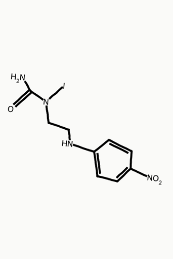 NC(=O)N(I)CCNc1ccc([N+](=O)[O-])cc1